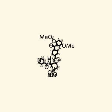 COCOc1ccc(OC)c(F)c1C(=O)c1ccc(C(=O)N[C@@H]2CCCN(C(=O)OC(C)(C)C)C[C@H]2NC(=O)c2ccncc2)cc1